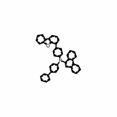 c1ccc(-c2ccc(N(c3ccc(-c4cccc5c4oc4ccccc45)cc3)c3cc4ccccc4c4ccccc34)cc2)cc1